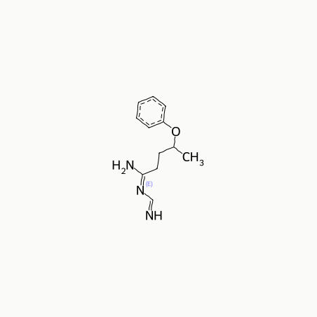 CC(CC/C(N)=N\C=N)Oc1ccccc1